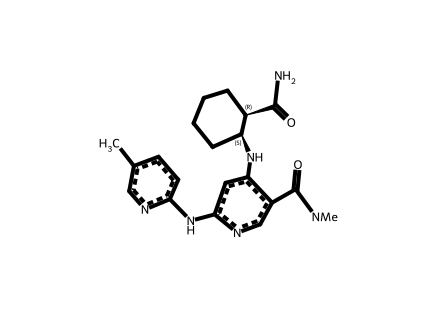 CNC(=O)c1cnc(Nc2ccc(C)cn2)cc1N[C@H]1CCCC[C@H]1C(N)=O